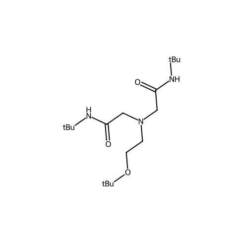 CC(C)(C)NC(=O)CN(CCOC(C)(C)C)CC(=O)NC(C)(C)C